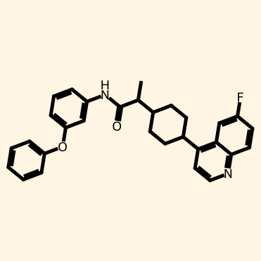 CC(C(=O)Nc1cccc(Oc2ccccc2)c1)C1CCC(c2ccnc3ccc(F)cc23)CC1